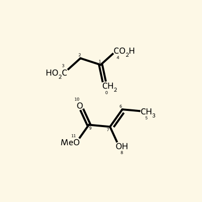 C=C(CC(=O)O)C(=O)O.CC=C(O)C(=O)OC